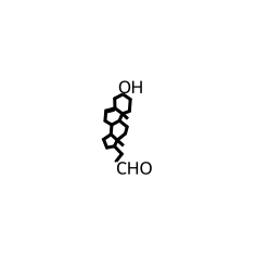 CC12CCC(O)CC1=CCC1C2CCC2(C)C(CCC=O)CCC12